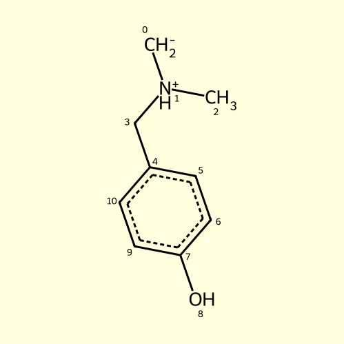 [CH2-][NH+](C)Cc1ccc(O)cc1